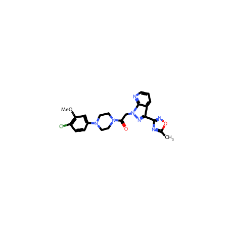 COc1cc(N2CCN(C(=O)Cn3nc(-c4noc(C)n4)c4cccnc43)CC2)ccc1Cl